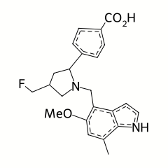 COc1cc(C)c2[nH]ccc2c1CN1CC(CF)CC1c1ccc(C(=O)O)cc1